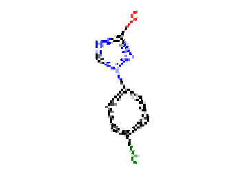 Oc1ncn(-c2ccc(Cl)cc2)n1